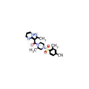 Cc1cc(C#N)ccc1S(=O)(=O)N1CCN(C(=O)c2c(C)nn3cccnc23)[C@@H](C)C1